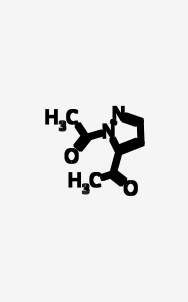 CC(=O)c1ccnn1C(C)=O